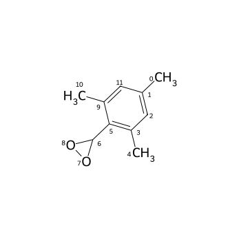 Cc1cc(C)c(C2OO2)c(C)c1